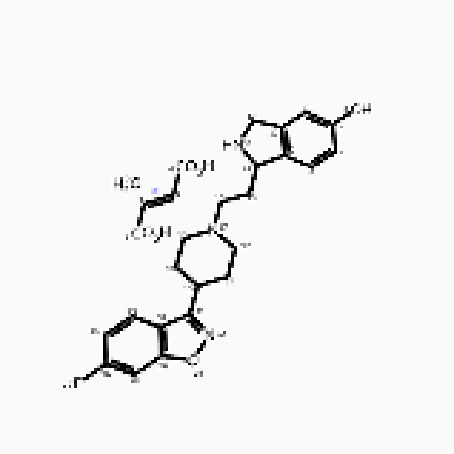 O.O=C(O)/C=C/C(=O)O.Oc1ccc2c(c1)CNC2CCN1CCC(c2noc3cc(F)ccc23)CC1